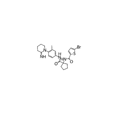 Cc1cc(NC(=O)C2(NC(=O)c3ccc(Br)s3)CCCC2)ccc1N1CCCCC1=N